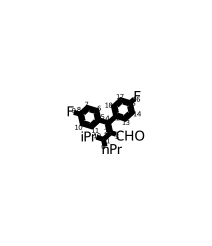 CCCC(C(C=O)=C(c1ccc(F)cc1)c1ccc(F)cc1)C(C)C